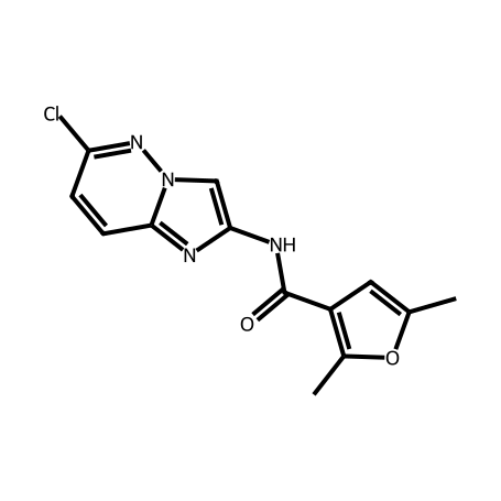 Cc1cc(C(=O)Nc2cn3nc(Cl)ccc3n2)c(C)o1